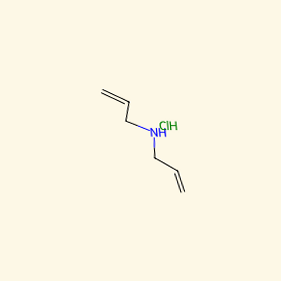 C=CCNCC=C.Cl